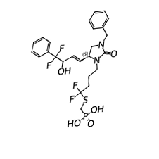 O=C1N(Cc2ccccc2)C[C@H](C=CC(O)C(F)(F)c2ccccc2)N1CCCC(F)(F)SCP(=O)(O)O